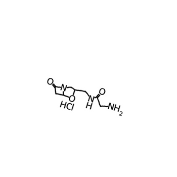 Cl.NCC(=O)NCC1CN2C(=O)CC2O1